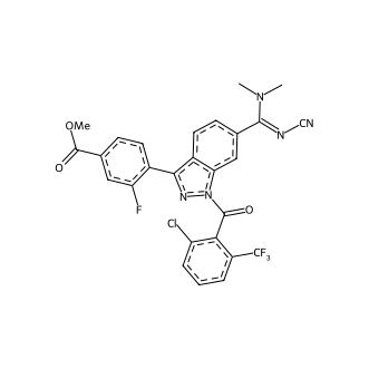 COC(=O)c1ccc(-c2nn(C(=O)c3c(Cl)cccc3C(F)(F)F)c3cc(C(=NC#N)N(C)C)ccc23)c(F)c1